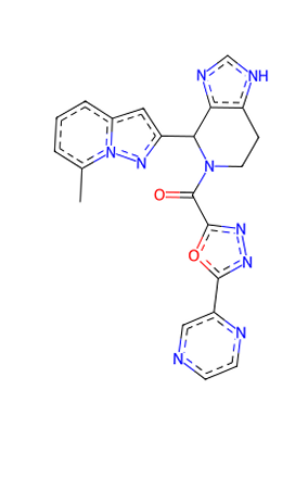 Cc1cccc2cc(C3c4nc[nH]c4CCN3C(=O)c3nnc(-c4cnccn4)o3)nn12